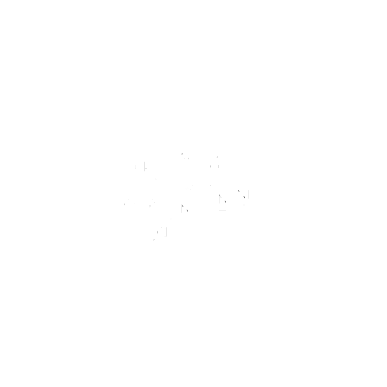 CC(=O)c1c(C(=O)NN)nc(Cl)c(Cl)c1Cl